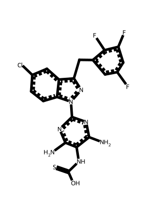 Nc1nc(-n2nc(Cc3cc(F)cc(F)c3F)c3cc(Cl)ccc32)nc(N)c1NC(O)=S